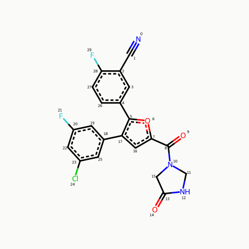 N#Cc1cc(-c2oc(C(=O)N3CNC(=O)C3)cc2-c2cc(F)cc(Cl)c2)ccc1F